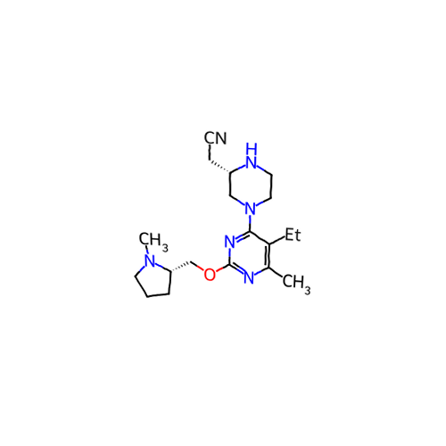 CCc1c(C)nc(OC[C@@H]2CCCN2C)nc1N1CCN[C@@H](CC#N)C1